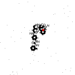 Cc1ccccc1NC(=O)Nc1ccc(NC(=O)CC(CC(C)C)C(=O)NC(CC(=O)O)(Cc2ccccc2)C2=COCO2)cc1